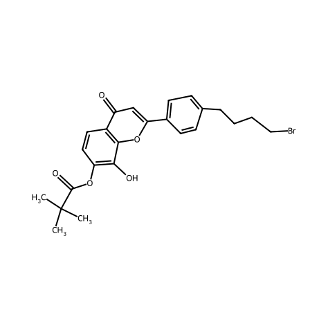 CC(C)(C)C(=O)Oc1ccc2c(=O)cc(-c3ccc(CCCCBr)cc3)oc2c1O